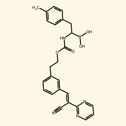 Cc1ccc(CC(NC(=O)OCCc2cccc(C=C(C#N)c3ncccn3)c2)B(O)O)cc1